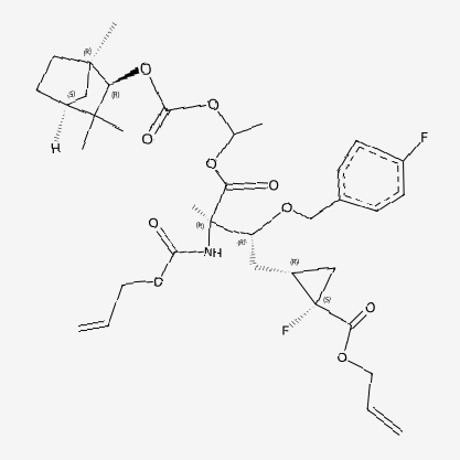 C=CCOC(=O)N[C@@](C)(C(=O)OC(C)OC(=O)O[C@H]1C(C)(C)[C@H]2CC[C@]1(C)C2)[C@@H](C[C@@H]1C[C@@]1(F)C(=O)OCC=C)OCc1ccc(F)cc1